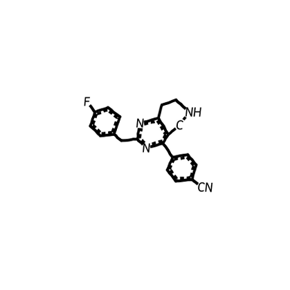 N#Cc1ccc(-c2nc(Cc3ccc(F)cc3)nc3c2CNCC3)cc1